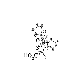 Cc1c(C(=O)O)sc2c1c1ccccc1n2S(=O)(=O)c1ccccc1